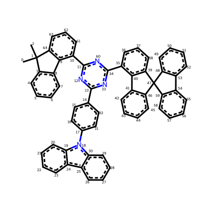 CC1(C)c2ccccc2-c2c(-c3nc(-c4ccc(-n5c6ccccc6c6ccccc65)cc4)nc(-c4cccc5c4-c4ccccc4C54c5ccccc5-c5ccccc54)n3)cccc21